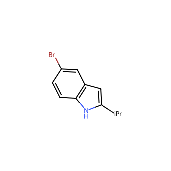 CC(C)c1cc2cc(Br)ccc2[nH]1